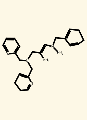 N/C(=C\N(N)CC1=CCCC=C1)CN(CC1=CCCC=N1)Cc1ccccn1